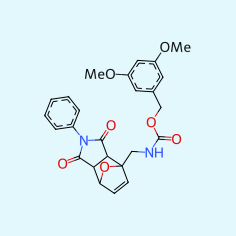 COc1cc(COC(=O)NCC23C=CC(O2)C2C(=O)N(c4ccccc4)C(=O)C23)cc(OC)c1